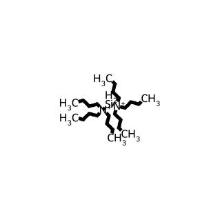 CCCC[N+](CCCC)(CCCC)[SiH2][N+](CCCC)(CCCC)CCCC